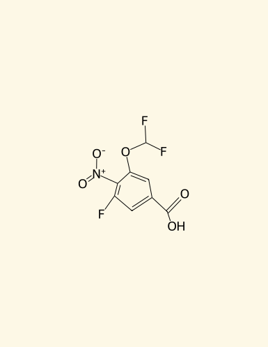 O=C(O)c1cc(F)c([N+](=O)[O-])c(OC(F)F)c1